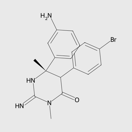 CN1C(=N)N[C@](C)(c2cccc(N)c2)C(c2ccc(Br)cc2)C1=O